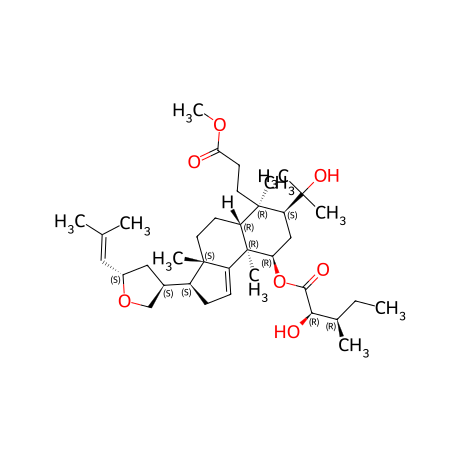 CC[C@@H](C)[C@@H](O)C(=O)O[C@@H]1C[C@H](C(C)(C)O)[C@](C)(CCC(=O)OC)[C@H]2CC[C@]3(C)C(=CC[C@H]3[C@H]3CO[C@H](C=C(C)C)C3)[C@@]21C